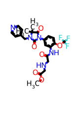 COC(=O)CNCC(=O)Nc1cc(N2C(=O)N(Cc3ccncc3)C(C)(C)C2=O)ccc1OC(F)(F)F